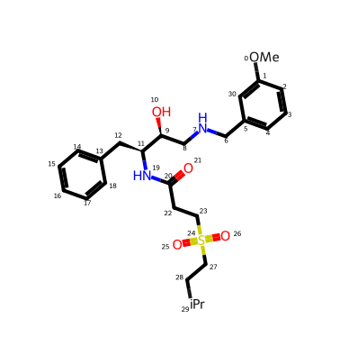 COc1cccc(CNC[C@H](O)[C@H](Cc2ccccc2)NC(=O)CCS(=O)(=O)CCC(C)C)c1